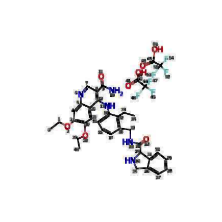 CCOc1cc2ncc(C(N)=O)c(Nc3cccc(CNC(=O)C4NCc5ccccc54)c3CC)c2cc1OCC.O=C(O)C(F)(F)F.O=C(O)C(F)(F)F